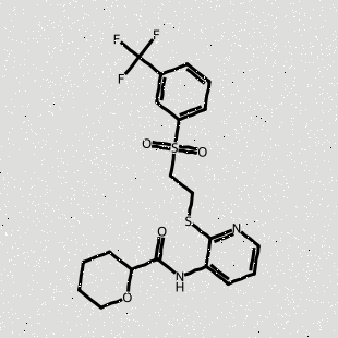 O=C(Nc1cccnc1SCCS(=O)(=O)c1cccc(C(F)(F)F)c1)C1CCCCO1